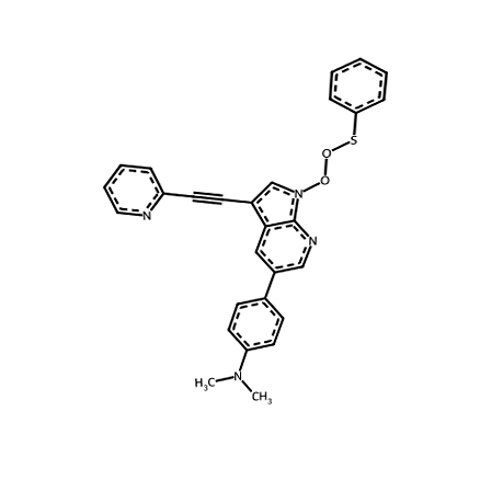 CN(C)c1ccc(-c2cnc3c(c2)c(C#Cc2ccccn2)cn3OOSc2ccccc2)cc1